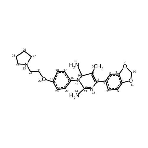 CC1=C(c2ccc3c(c2)OCO3)N=C(N)N(c2ccc(OCCN3CCCC3)cc2)C1N